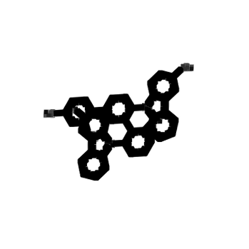 CC(C)(C)c1ccc2c(c1)c1ccccc1n2-c1ccc(-c2ccc(C#N)cc2C(F)(F)F)cc1-c1c(C#N)cccc1-n1c2ccccc2c2cc(C(C)(C)C)ccc21